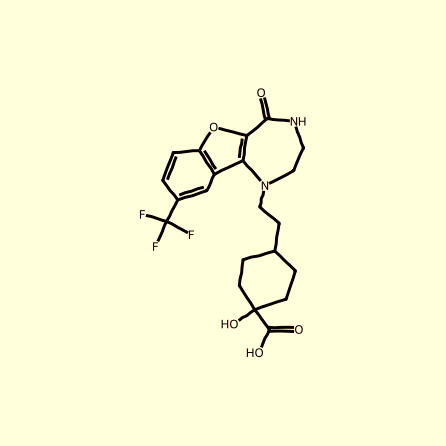 O=C1NCCN(CCC2CCC(O)(C(=O)O)CC2)c2c1oc1ccc(C(F)(F)F)cc21